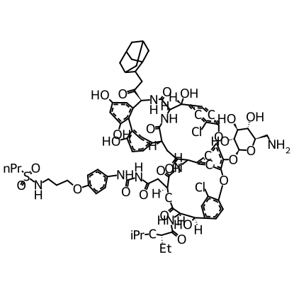 CCCS(=O)(=O)NCCCOc1ccc(NC(=O)NC(=O)C[C@@H]2CC(=O)[C@H](NC(=O)[C@H](CC)CC(C)C)[C@H](O)c3ccc(c(Cl)c3)Oc3cc4cc(c3O[C@@H]3O[C@H](CN)[C@@H](O)[C@H](O)[C@H]3O)Oc3ccc(cc3Cl)[C@@H](O)[C@@H]3NC(=O)[C@H](CC(=O)[C@@H]4NC2=O)c2ccc(O)c(c2)-c2c(O)cc(O)cc2[C@@H](C(=O)CC2C4CC5CC(C4)CC2C5)NC3=O)cc1